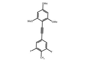 COc1cc(OC)c(C#Cc2cc(F)c(C)c(F)c2)c(OC)c1